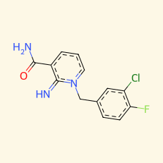 N=c1c(C(N)=O)cccn1Cc1ccc(F)c(Cl)c1